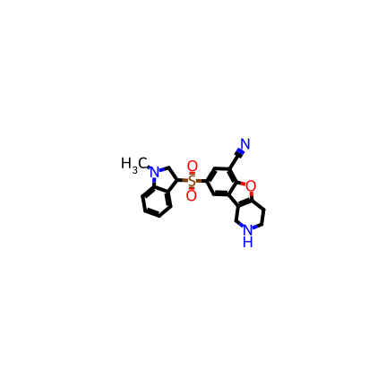 CN1CC(S(=O)(=O)c2cc(C#N)c3oc4c(c3c2)CNCC4)c2ccccc21